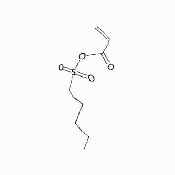 C=CC(=O)OS(=O)(=O)CCCCC